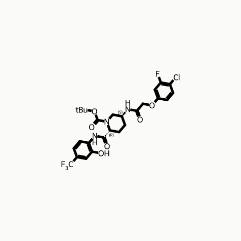 CC(C)(C)OC(=O)N1C[C@@H](NC(=O)COc2ccc(Cl)c(F)c2)CC[C@@H]1C(=O)Nc1ccc(C(F)(F)F)cc1O